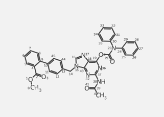 COC(=O)c1ccccc1-c1ccc(Cn2cnc3c(OC(=O)N(c4ccccc4)c4ccccc4)nc(NC(C)=O)nc32)cc1